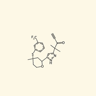 C#CC(=O)C(C)(C)c1cc(C2CC(C)(Sc3cccc(C(F)(F)F)c3)CCO2)[nH]n1